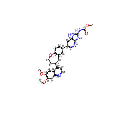 COC(=O)Nc1nc2ncc(-c3ccc4c(c3)CC(c3ccnc5cc(OC)c(OC)cc35)CCO4)cc2[nH]1